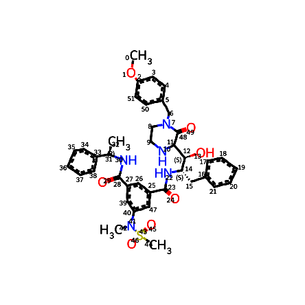 COc1ccc(CN2CCNC([C@@H](O)[C@H](Cc3ccccc3)NC(=O)c3cc(C(=O)N[C@H](C)c4ccccc4)cc(N(C)S(C)(=O)=O)c3)C2=O)cc1